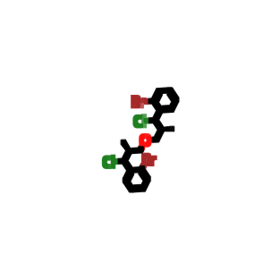 C[C@@H](COC[C@H](C)C(Cl)c1ccccc1Br)C(Cl)c1ccccc1Br